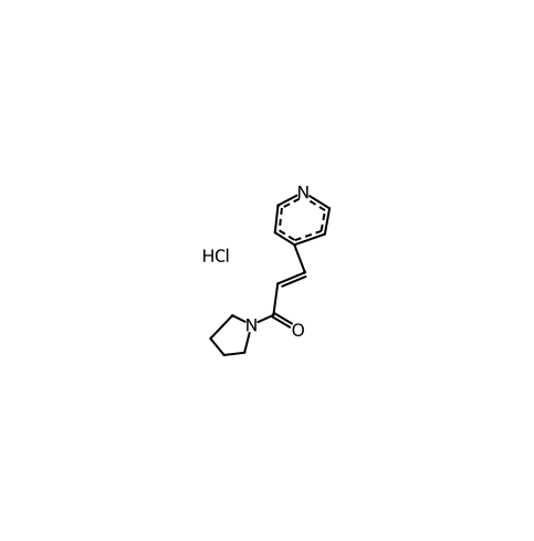 Cl.O=C(C=Cc1ccncc1)N1CCCC1